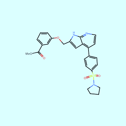 COC(=O)c1cccc(OCc2cc3c(-c4ccc(S(=O)(=O)N5CCCC5)cc4)ccnc3[nH]2)c1